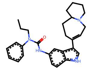 CCCN(C(=O)Nc1ccc2[nH]cc(C3=CCN4CCCCC4CC3)c2c1)c1ccccc1